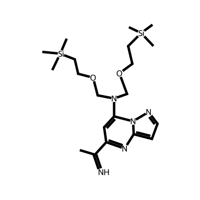 CC(=N)c1cc(N(COCC[Si](C)(C)C)COCC[Si](C)(C)C)n2nccc2n1